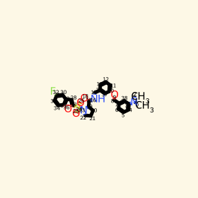 CN(C)c1cccc(COc2cccc(CNC(=O)C3CCCN3S(=O)(=O)c3cc4cc(F)ccc4o3)c2)c1